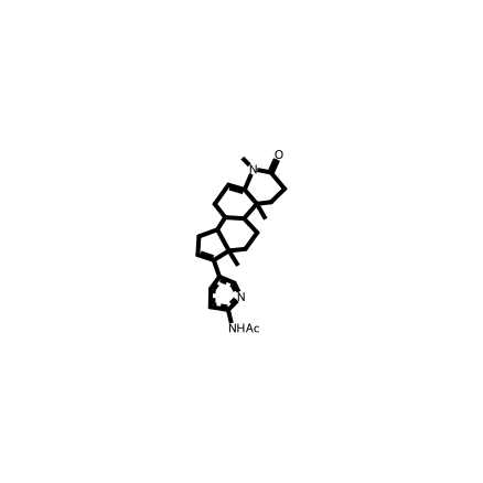 CC(=O)Nc1ccc(C2=CCC3C4CC=C5N(C)C(=O)CCC5(C)C4CCC23C)cn1